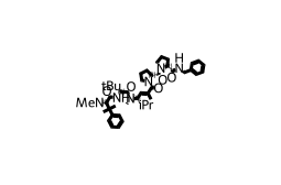 CN[C@H](C(=O)N[C@H](C(=O)N(C)[C@H](C=C(C)C(=O)N1CCC[C@@H]1C(=O)N1CCC[C@@H]1C(=O)NCc1ccccc1)C(C)C)C(C)(C)C)C(C)(C)c1ccccc1